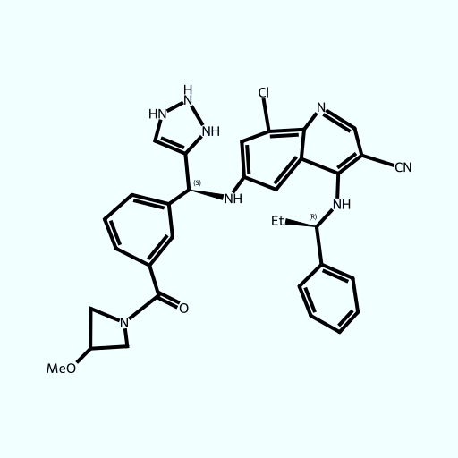 CC[C@@H](Nc1c(C#N)cnc2c(Cl)cc(N[C@H](C3=CNNN3)c3cccc(C(=O)N4CC(OC)C4)c3)cc12)c1ccccc1